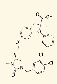 CN1C(=O)N(Cc2ccc(Cl)c(Cl)c2)C[C@@H]1CCOc1ccc(C[C@](C)(Oc2ccccc2)C(=O)O)cc1